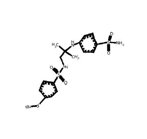 CC(C)(CNS(=O)(=O)c1ccc(SC(C)(C)C)cc1)Nc1ccc(S(N)(=O)=O)cc1